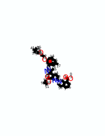 COC(=O)c1cccc2c1CN(c1ccc(-c3cnn(CC45CC6(C)CC(C)(C4)CC(OCCO[Si](C)(C)C(C)(C)C)(C6)C5)c3C)c(C(=O)OC(C)(C)C)n1)CC2